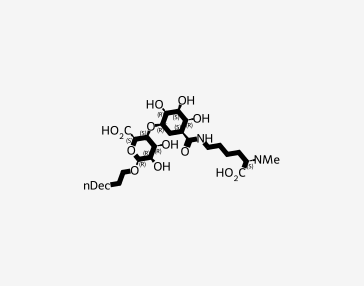 CCCCCCCCCCCCO[C@@H]1O[C@H](C(=O)O)[C@@H](O[C@@H]2C[C@H](C(=O)NCCCC[C@H](NC)C(=O)O)[C@@H](O)[C@H](O)[C@H]2O)[C@H](O)[C@H]1O